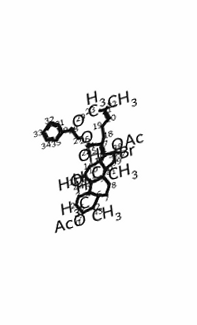 CC(=O)O[C@@H]1CC[C@@]2(C)C(CC[C@@]3(C)[C@@H]2[C@H](O)C[C@@H]2C(=C(CCC=C(C)C)C(=O)OCC(=O)c4ccccc4)[C@@](Br)(OC(C)=O)C[C@@]23C)[C@@H]1C